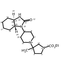 CCOC(=O)N1CCC(C)(N2CCC(N3C(=O)N[C@@H]4CCCC[C@H]43)CC2)C1